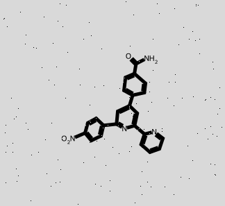 NC(=O)c1ccc(-c2cc(-c3ccc([N+](=O)[O-])cc3)nc(-c3ccccn3)c2)cc1